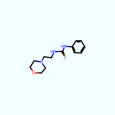 S=C(NCCN1CCOCC1)Nc1ccccc1